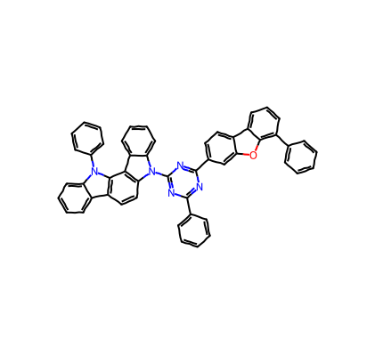 c1ccc(-c2nc(-c3ccc4c(c3)oc3c(-c5ccccc5)cccc34)nc(-n3c4ccccc4c4c3ccc3c5ccccc5n(-c5ccccc5)c34)n2)cc1